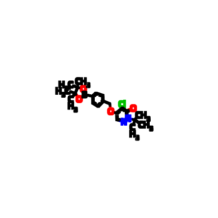 CC(C)(C)n1ncc(OCc2ccc(B3OC(C)(C)C(C)(C)O3)cc2)c(Cl)c1=O